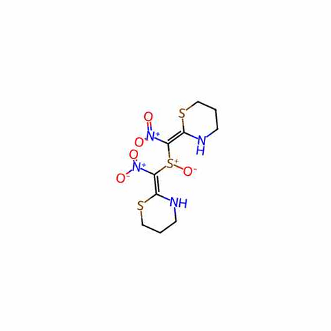 O=[N+]([O-])/C(=C1/NCCCS1)[S+]([O-])/C(=C1\NCCCS1)[N+](=O)[O-]